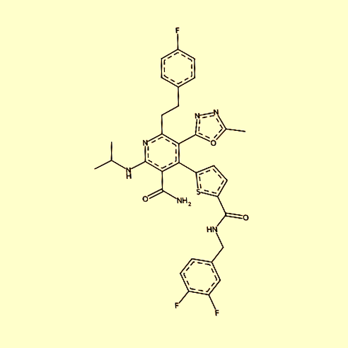 Cc1nnc(-c2c(CCc3ccc(F)cc3)nc(NC(C)C)c(C(N)=O)c2-c2ccc(C(=O)NCc3ccc(F)c(F)c3)s2)o1